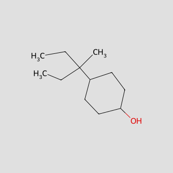 CCC(C)(CC)C1CCC(O)CC1